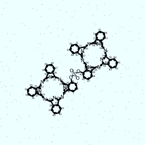 O=S(=O)(Oc1cccc2c3nc4nc(nc5[nH]c(nc6nc(nc([nH]3)c12)-c1ccccc1-6)c1ccccc51)-c1ccccc1-4)Oc1cccc2c3nc4nc(nc5[nH]c(nc6nc(nc([nH]3)c12)-c1ccccc1-6)c1ccccc51)-c1ccccc1-4